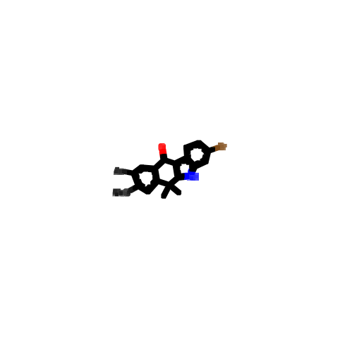 COc1cc2c(cc1C(C)=O)C(=O)c1c([nH]c3cc(Br)ccc13)C2(C)C